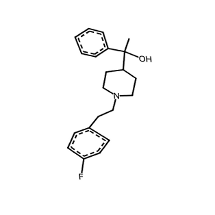 CC(O)(c1ccccc1)C1CCN(CCc2ccc(F)cc2)CC1